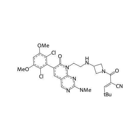 CNc1ncc2cc(-c3c(Cl)c(OC)cc(OC)c3Cl)c(=O)n(CCNC3CN(C(=O)C(C#N)=CC(C)(C)C)C3)c2n1